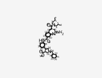 CCCN(CCC)C(=O)C1=Cc2ccc(C(=O)Nc3cccc(C4CN(Cc5ccccc5)CC4C(=O)OC)c3)cc2N=C(N)C1